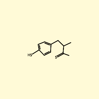 CC(=S)C(C)Cc1ccc(S)cc1